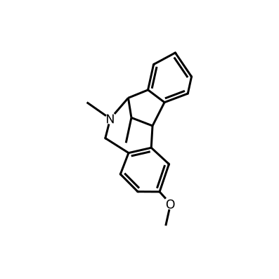 COc1ccc2c(c1)C1c3ccccc3C(C1C)N(C)C2